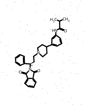 CC(C)C(=O)Nc1cccc(C2CCN(CC[C@H](c3ccccc3)N3C(=O)c4ccccc4C3=O)CC2)c1